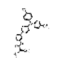 C=C(C)C(=O)Oc1cccc(-c2ccc(N(c3ccc(C)cc3)c3ccc(Cl)cc3)cc2)c1